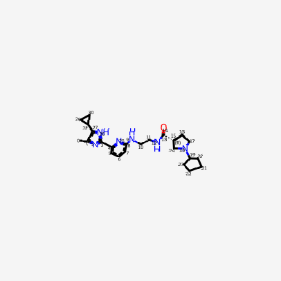 Cc1nc(-c2cccc(NCCNC(=O)[C@@H]3CCN(C4CCCC4)C3)n2)[nH]c1C1CC1